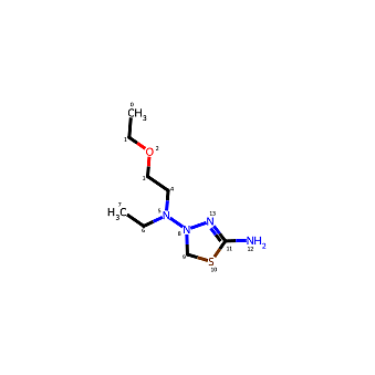 CCOCCN(CC)N1CSC(N)=N1